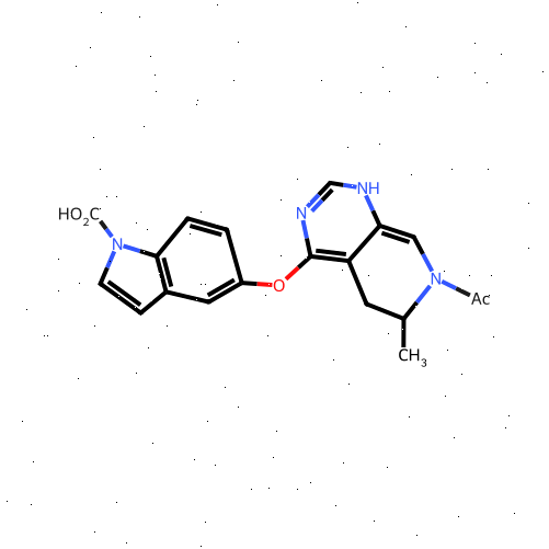 CC(=O)N1C=C2NC=NC(Oc3ccc4c(ccn4C(=O)O)c3)=C2CC1C